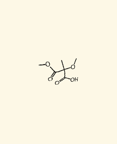 COC(=O)C(C)(OC)C(=O)O